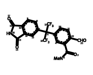 CNC(=O)c1cc(C(c2ccc3c(c2)C(=O)NC3=O)(C(F)(F)F)C(F)(F)F)ccc1C=O